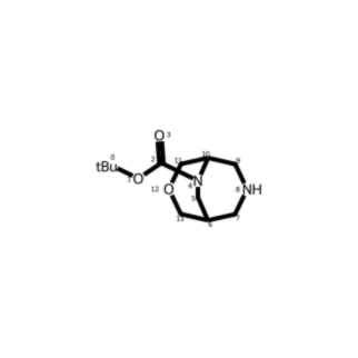 CC(C)(C)OC(=O)N1CC2CNCC1COC2